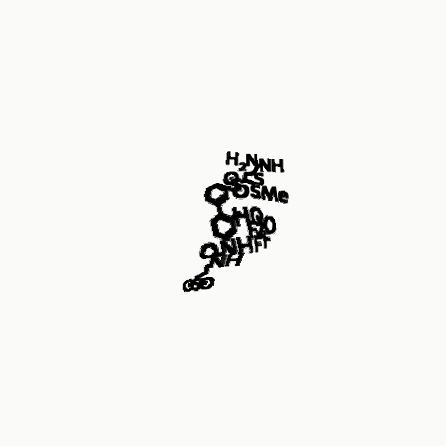 CSc1sc(C(=N)N)cc1S(=O)(=O)c1cccc(-c2ccc(NC(=O)NCCCS(C)(=O)=O)cc2C)c1.O=C(O)C(F)(F)F